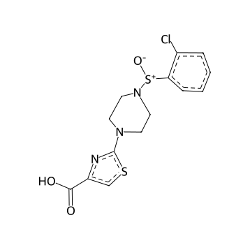 O=C(O)c1csc(N2CCN([S+]([O-])c3ccccc3Cl)CC2)n1